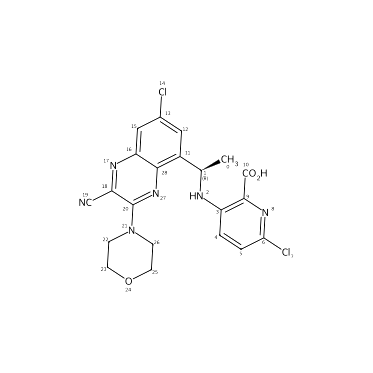 C[C@@H](Nc1ccc(Cl)nc1C(=O)O)c1cc(Cl)cc2nc(C#N)c(N3CCOCC3)nc12